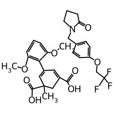 COc1cccc(OC)c1C1=CC(C)(C(=O)O)CC(C(=O)O)=C1.O=C1CCCN1Cc1ccc(OCC(F)(F)F)cc1